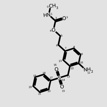 CNC(=O)OCCc1ccc(N)c(CS(=O)(=O)c2ccccc2)c1